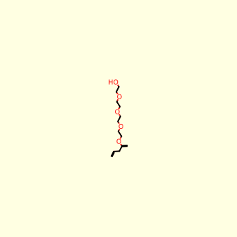 C=CCC(=C)OCCOCCOCCOCCO